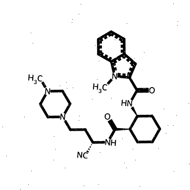 CN1CCN(CC[C@@H](C#N)NC(=O)[C@@H]2CCCC[C@@H]2NC(=O)c2cc3ccccc3n2C)CC1